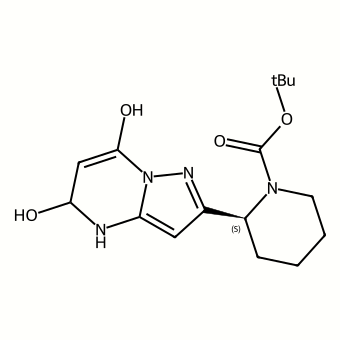 CC(C)(C)OC(=O)N1CCCC[C@H]1c1cc2n(n1)C(O)=CC(O)N2